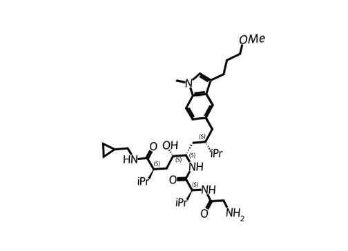 COCCCc1cn(C)c2ccc(C[C@@H](C[C@H](NC(=O)[C@@H](NC(=O)CN)C(C)C)[C@@H](O)C[C@H](C(=O)NCC3CC3)C(C)C)C(C)C)cc12